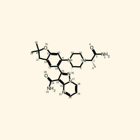 C[C@@H](C(N)=O)N1CCN(c2cc3c(cc2-c2nn4cccnc4c2C(N)=O)CC(C)(C)O3)CC1